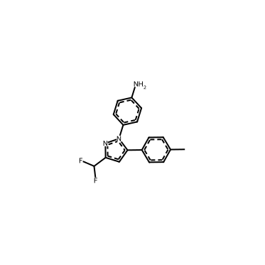 Cc1ccc(-c2cc(C(F)F)nn2-c2ccc(N)cc2)cc1